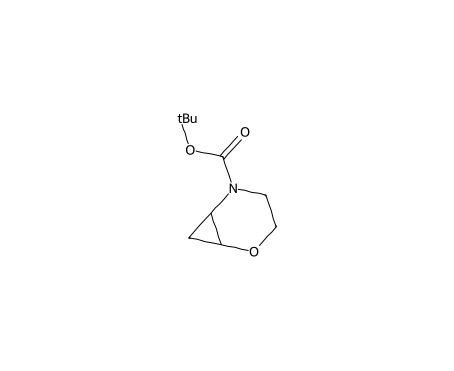 CC(C)(C)OC(=O)N1CCOC2CC21